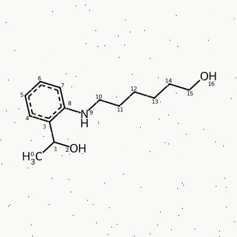 CC(O)c1ccccc1NCCCCCCO